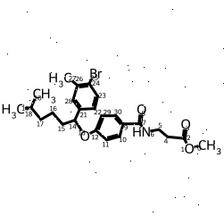 COC(=O)CCNC(=O)c1ccc(OC(CCCC(C)C)c2ccc(Br)c(C)c2)cc1